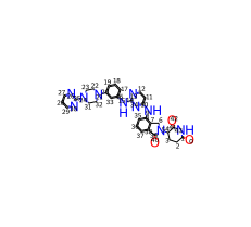 O=C1CCC(N2Cc3c(Nc4ccnc(Nc5cccc(N6CCN(c7ncccn7)CC6)c5)n4)cccc3C2=O)C(=O)N1